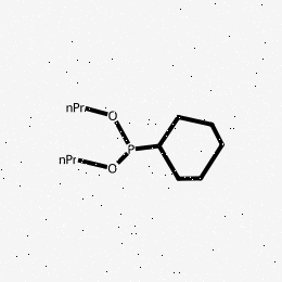 CCCOP(OCCC)C1CCCCC1